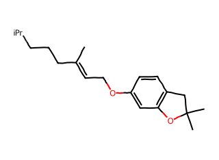 C/C(=C\COc1ccc2c(c1)OC(C)(C)C2)CCCC(C)C